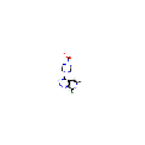 CC(C)(C)OC(=O)N1CCN(C2=NCNc3c2cc(C(F)(F)F)nc3Cl)CC1